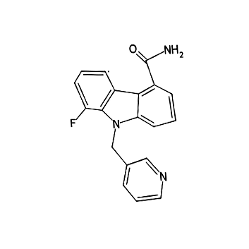 NC(=O)c1cccc2c1c1[c]ccc(F)c1n2Cc1cccnc1